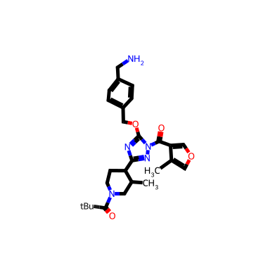 Cc1cocc1C(=O)n1nc(C2CCN(C(=O)C(C)(C)C)CC2C)nc1OCc1ccc(CN)cc1